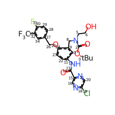 CC(C)(C)OC(=O)N(CCO)Cc1cc(NC(=O)c2cnc(Cl)cn2)ccc1OCc1ccc(F)c(C(F)(F)F)c1